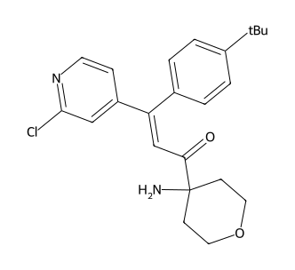 CC(C)(C)c1ccc(/C(=C\C(=O)C2(N)CCOCC2)c2ccnc(Cl)c2)cc1